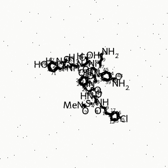 CNC(=O)SC[C@@H](NC(=O)CCc1ccc(Cl)cc1)C(=O)N[C@@H](Cc1ccc(O)cc1)C(=O)NCC(=O)N(c1ccc(C(N)=O)cc1)[C@@H](CCCCN)C(=O)NC(C(=O)NCC(=O)N[C@H](Cc1ccc(O)cc1)C(N)=O)C(C)O